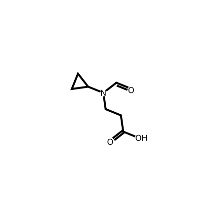 O=CN(CCC(=O)O)C1CC1